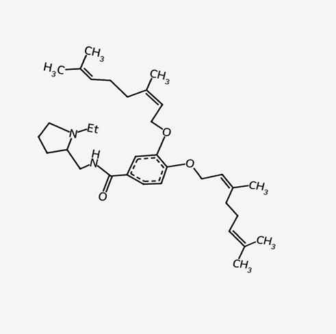 CCN1CCCC1CNC(=O)c1ccc(OCC=C(C)CCC=C(C)C)c(OCC=C(C)CCC=C(C)C)c1